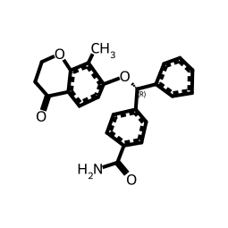 Cc1c(O[C@H](c2ccccc2)c2ccc(C(N)=O)cc2)ccc2c1OCCC2=O